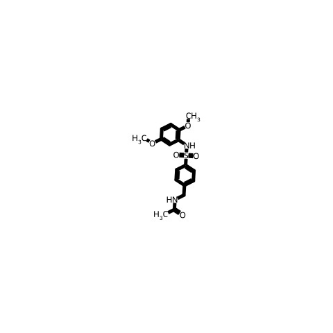 COc1ccc(OC)c(NS(=O)(=O)c2ccc(CNC(C)=O)cc2)c1